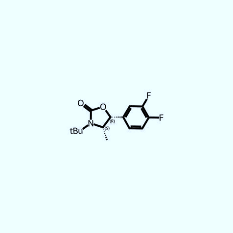 C[C@H]1[C@@H](c2ccc(F)c(F)c2)OC(=O)N1C(C)(C)C